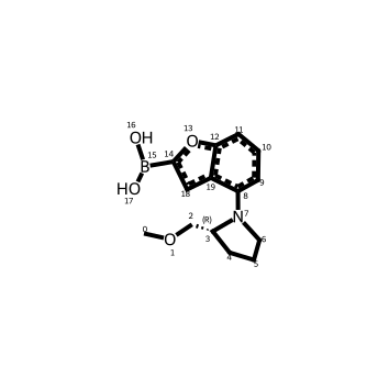 COC[C@H]1CCCN1c1cccc2oc(B(O)O)cc12